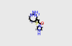 NC1=N/Cc2cc(C(=O)N3CCNCC3)sc2/C=C\C/C=N\1